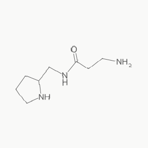 NCCC(=O)NCC1CCCN1